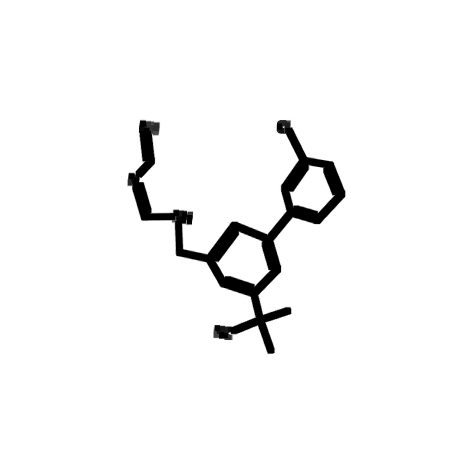 CC(C)(C#N)c1cc(CN/C=N\C=N)cc(-c2cccc(Cl)c2)c1